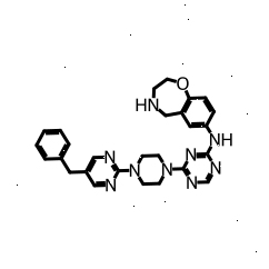 c1ccc(Cc2cnc(N3CCN(c4ncnc(Nc5ccc6c(c5)CNCCO6)n4)CC3)nc2)cc1